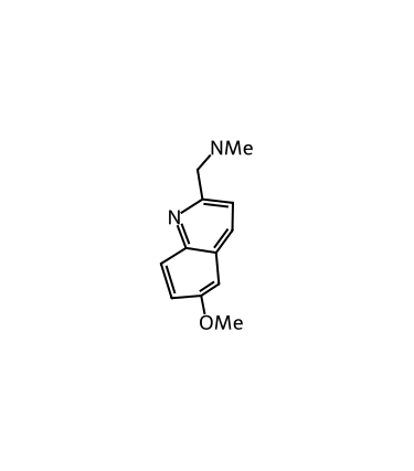 CNCc1ccc2cc(OC)ccc2n1